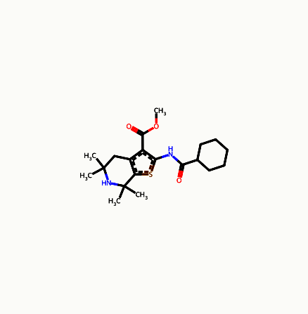 COC(=O)c1c(NC(=O)C2CCCCC2)sc2c1CC(C)(C)NC2(C)C